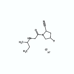 CCC(C)NCC(=O)N1CC(F)CC1C#N.[Cl-].[H+]